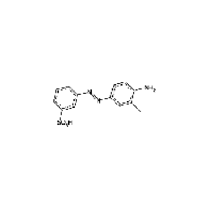 Cc1cc(N=Nc2cccc(S(=O)(=O)O)c2)ccc1N